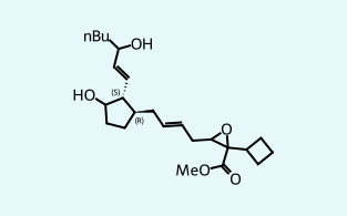 CCCCC(O)C=C[C@H]1C(O)CC[C@@H]1CC=CCC1OC1(C(=O)OC)C1CCC1